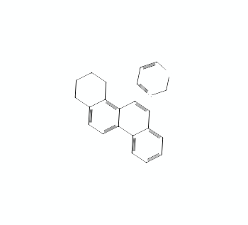 C1=COCN=C1.c1ccc2c(c1)ccc1c3c(ccc12)CCCC3